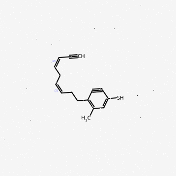 C#C/C=C\C/C=C\CCc1c#cc(S)cc1C